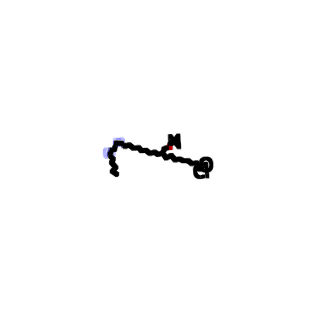 CCCCC/C=C\C/C=C\CCCCCCCCCC(CCCCCCCCC(=O)Cl)CCCN(C)C